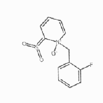 O=S(=O)=C1C=CC=C[N+]1([O-])Cc1ccccc1F